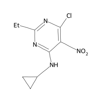 CCc1nc(Cl)c([N+](=O)[O-])c(NC2CC2)n1